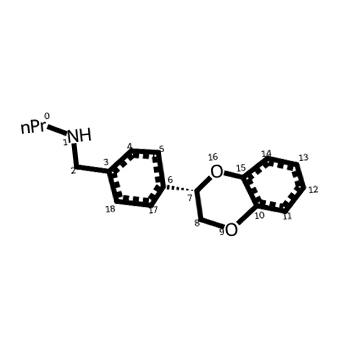 CCCNCc1ccc([C@H]2COc3ccccc3O2)cc1